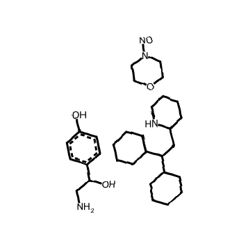 C1CCC(C(CC2CCCCN2)C2CCCCC2)CC1.NCC(O)c1ccc(O)cc1.O=NN1CCOCC1